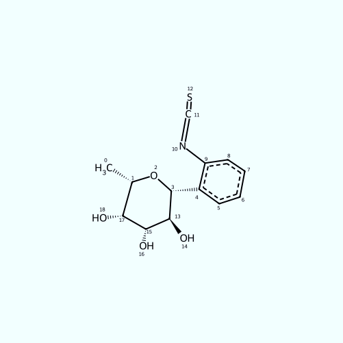 C[C@@H]1O[C@H](c2ccccc2N=C=S)[C@@H](O)[C@H](O)[C@@H]1O